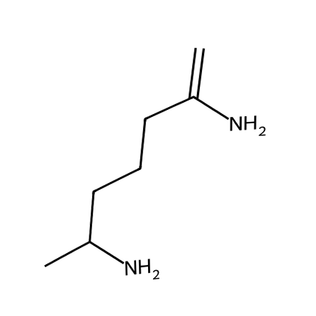 C=C(N)CCCC(C)N